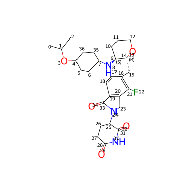 CC(C)OC1CCC(N[C@H]2CCCO[C@@H]2Cc2ccc3c(c2F)CN(C2CCC(=O)NC2=O)C3=O)CC1